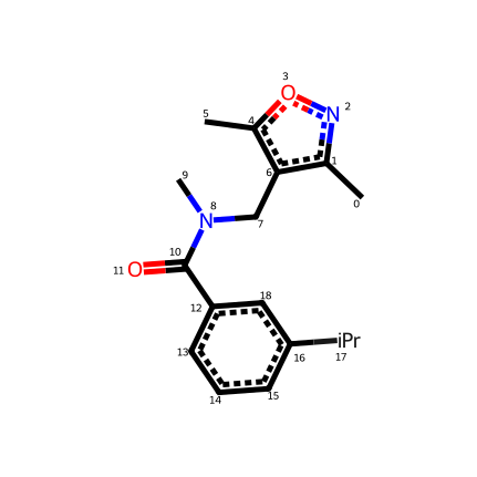 Cc1noc(C)c1CN(C)C(=O)c1cccc(C(C)C)c1